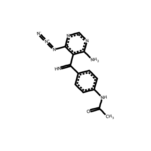 CC(=O)Nc1ccc(C(=N)c2c(N)ncnc2N=[N+]=[N-])cc1